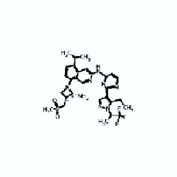 CCc1c(-c2nccc(Nc3cc4c(C(C)C)ccc(N5C[C@H](CS(C)(=O)=O)[C@H]5N)c4cn3)n2)cnn1C(C)C(F)(F)F